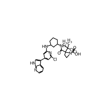 CC(C)(C)C1(C(=O)NC2CCCC(Nc3cc(-c4c[nH]c5ncccc45)cc(Cl)n3)C2)CCN1C(=O)O